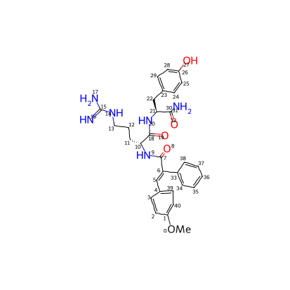 COc1ccc(/C=C(/C(=O)N[C@H](CCCNC(=N)N)C(=O)N[C@@H](Cc2ccc(O)cc2)C(N)=O)c2ccccc2)cc1